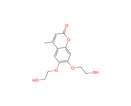 Cc1cc(=O)oc2cc(OCCO)c(OCCO)cc12